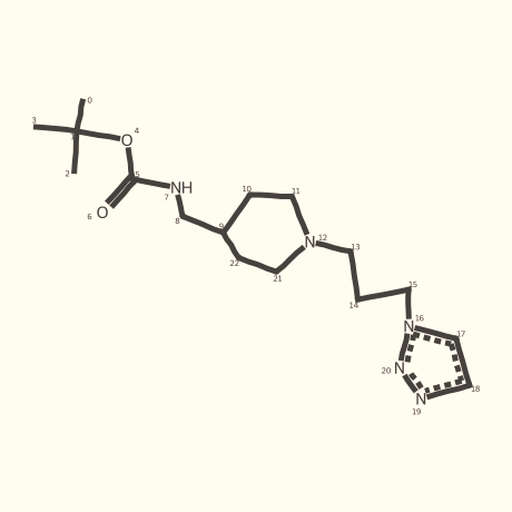 CC(C)(C)OC(=O)NCC1CCN(CCCn2ccnn2)CC1